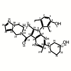 Cc1ccc(O)c(C)c1-n1c(N)c(C(=O)N2CCn3nccc3C2)c2nc(C)c(N3CCC[C@@H](O)C3)nc21